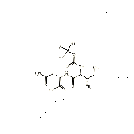 CC[C@H](C)[C@H](NC(=O)OC(C)(C)C)C(=O)N[C@@H](CC(N)=O)C(=O)O